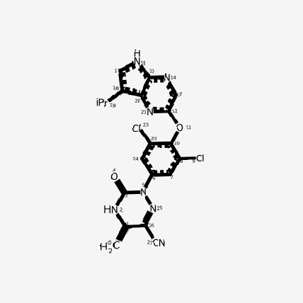 C=C1NC(=O)N(c2cc(Cl)c(Oc3cnc4[nH]cc(C(C)C)c4n3)c(Cl)c2)N=C1C#N